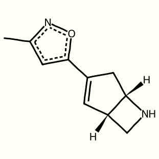 Cc1cc(C2=C[C@H]3CN[C@H]3C2)on1